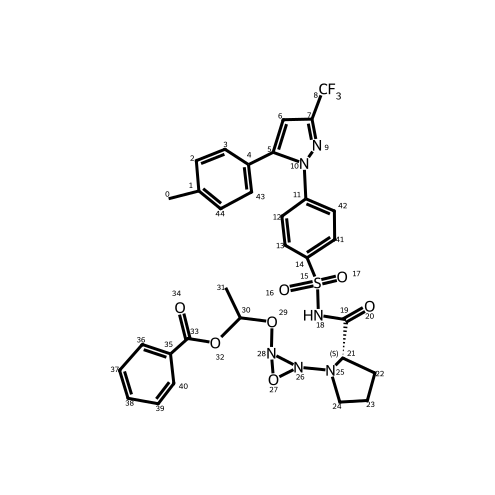 Cc1ccc(-c2cc(C(F)(F)F)nn2-c2ccc(S(=O)(=O)NC(=O)[C@@H]3CCCN3n3on3OC(C)OC(=O)c3ccccc3)cc2)cc1